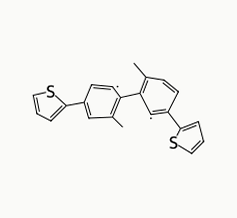 Cc1ccc(-c2cccs2)[c]c1-c1[c]cc(-c2cccs2)cc1C